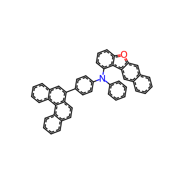 c1ccc(N(c2ccc(-c3cc4ccccc4c4c3ccc3ccccc34)cc2)c2cccc3oc4cc5ccccc5cc4c23)cc1